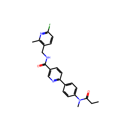 CCC(=O)N(C)c1ccc(-c2ccc(C(=O)NCc3ccc(F)nc3C)cn2)cc1